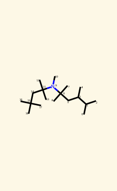 CC(C)C(C)CC(C)(C)N(C)C(C)(C)CC(C)(C)C